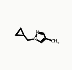 Cc1cnn(CC2CC2)c1